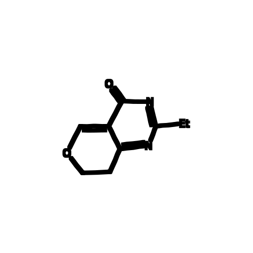 CCC1=NC(=O)C2=COCCC2=N1